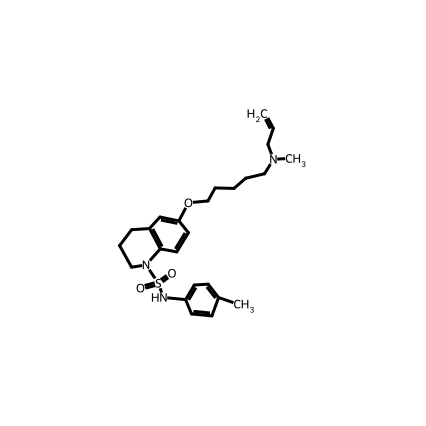 C=CCN(C)CCCCCOc1ccc2c(c1)CCCN2S(=O)(=O)Nc1ccc(C)cc1